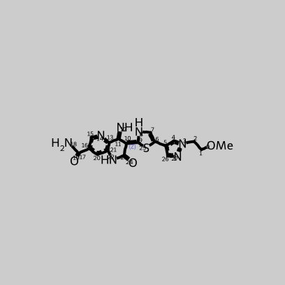 COCCn1cc(C2=CN/C(=C3\C(=N)c4ncc(C(N)=O)cc4NC3=O)S2)cn1